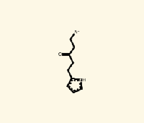 CC(=O)CCC(=O)CCc1ccc[nH]1